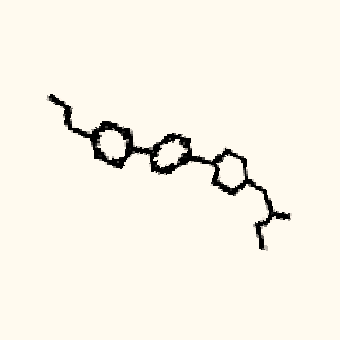 CCCc1ccc(-c2ccc(C3CCC(CC(C)CC)CC3)cc2)cc1